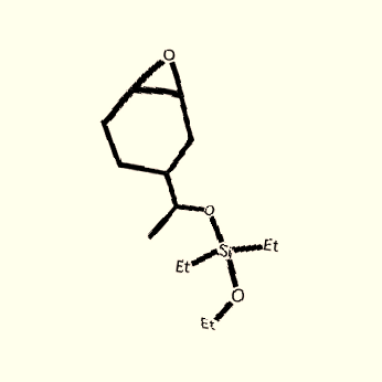 CCO[Si](CC)(CC)OC(C)C1CCC2OC2C1